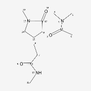 CC(=O)N(C)C.CCC(=O)NC.CN1CCCC1=O